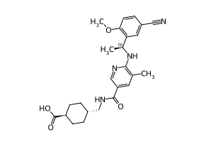 COc1ccc(C#N)cc1[C@H](C)Nc1ncc(C(=O)NC[C@H]2CC[C@H](C(=O)O)CC2)cc1C